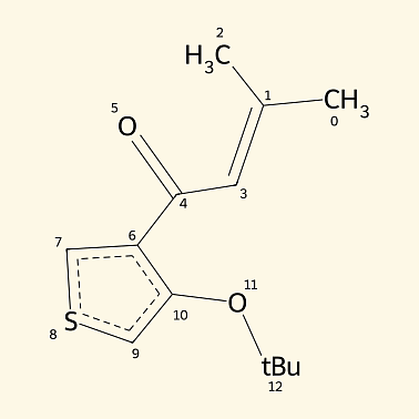 CC(C)=CC(=O)c1cscc1OC(C)(C)C